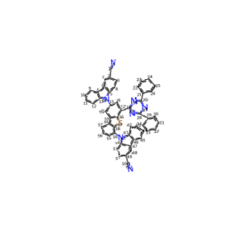 N#Cc1ccc2c(c1)c1ccccc1n2-c1cc(-c2nc(-c3ccccc3)nc(-c3ccccc3)n2)c2sc3c(-n4c5ccccc5c5cc(C#N)ccc54)cccc3c2c1